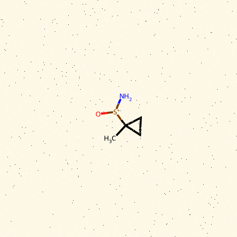 CC1([S+](N)[O-])CC1